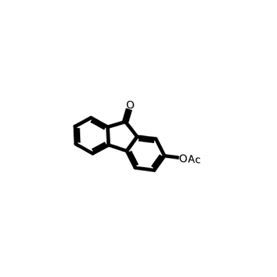 CC(=O)Oc1ccc2c(c1)C(=O)c1ccccc1-2